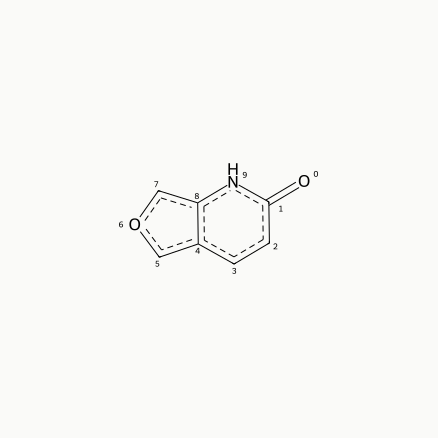 O=c1ccc2cocc2[nH]1